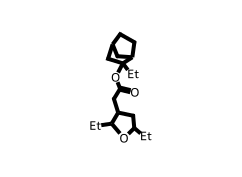 CCC1CC(CC(=O)OC2(CC)CC3CCC2C3)C(CC)O1